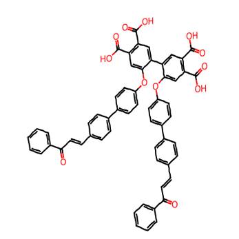 O=C(C=Cc1ccc(-c2ccc(Oc3cc(C(=O)O)c(C(=O)O)cc3-c3cc(C(=O)O)c(C(=O)O)cc3Oc3ccc(-c4ccc(C=CC(=O)c5ccccc5)cc4)cc3)cc2)cc1)c1ccccc1